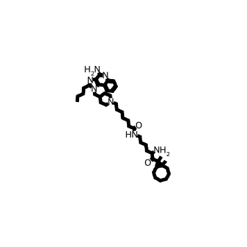 CCCCc1nc2c(N)nc3ccccc3c2n1CC1CCN(CCCCCCC(=O)NCCCCC(N)C(=O)C2(C)C3CCCCCCC32C)CC1